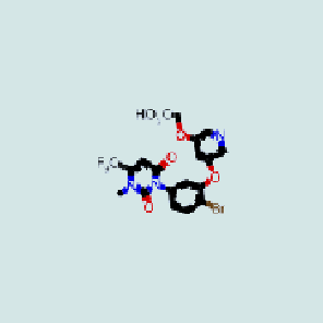 Cn1c(C(F)(F)F)cc(=O)n(-c2ccc(Br)c(Oc3cncc(OCC(=O)O)c3)c2)c1=O